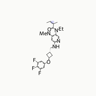 C/C=C(/C)C(=O)N(CC)c1cnc(NC[C@H]2C[C@H](Oc3cc(F)c(F)c(F)c3)C2)cc1NC